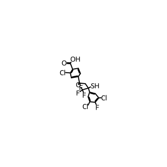 O=C(CC(S)(c1cc(Cl)c(F)c(Cl)c1)C(F)(F)F)c1ccc(C(=O)O)c(Cl)c1